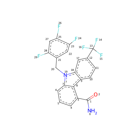 NC(=O)c1cccc2c1c1[c]cc(C(F)(F)F)cc1n2Cc1cc(F)c(F)cc1F